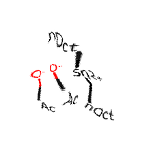 CC(=O)[O-].CC(=O)[O-].CCCCCCC[CH2][Sn+2][CH2]CCCCCCC